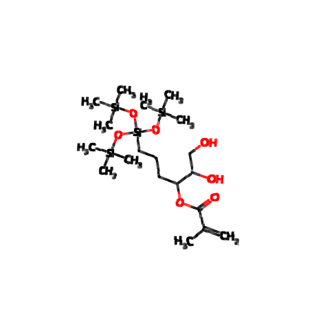 C=C(C)C(=O)OC(CCC[Si](O[Si](C)(C)C)(O[Si](C)(C)C)O[Si](C)(C)C)C(O)CO